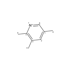 CC1=[C]C(C)=C(C)[N+]=[C]1